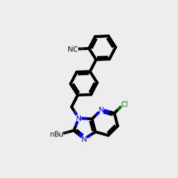 CCCCc1nc2ccc(Cl)nc2n1Cc1ccc(-c2ccccc2C#N)cc1